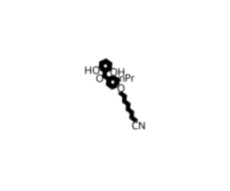 CCCc1c(OCCCCCCCCC#N)ccc(C(=O)c2ccccc2O)c1O